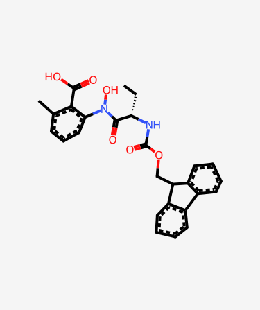 CC[C@H](NC(=O)OCC1c2ccccc2-c2ccccc21)C(=O)N(O)c1cccc(C)c1C(=O)O